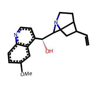 C=CC1CC23C1CCN2C3[C@H](O)c1ccnc2ccc(OC)cc12